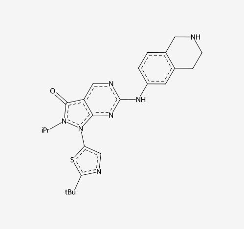 CC(C)n1c(=O)c2cnc(Nc3ccc4c(c3)CCNC4)nc2n1-c1cnc(C(C)(C)C)s1